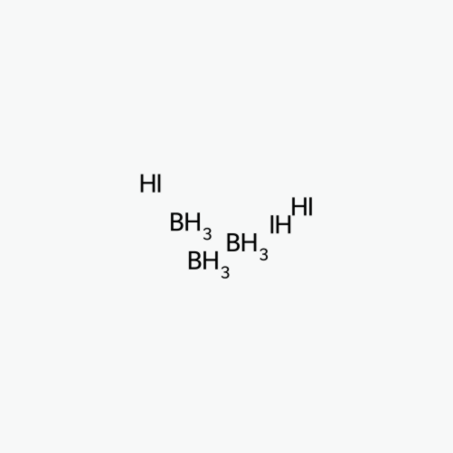 B.B.B.I.I.I